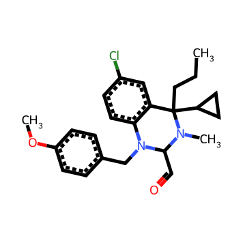 CCCC1(C2CC2)c2cc(Cl)ccc2N(Cc2ccc(OC)cc2)C(C=O)N1C